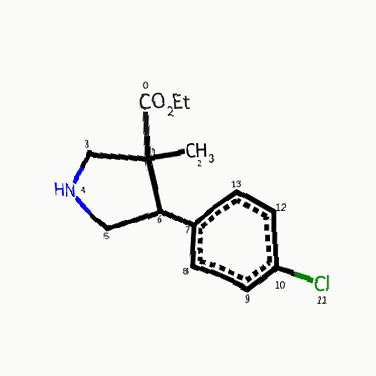 CCOC(=O)C1(C)CNCC1c1ccc(Cl)cc1